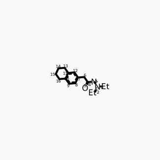 CCN(CC)[N]C(=O)Cc1ccc2c(c1)CCCC2